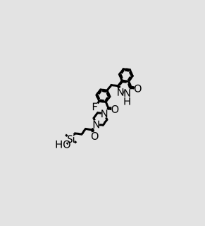 C[Si](C)(O)CCCC(=O)N1CCN(C(=O)c2cc(Cc3n[nH]c(=O)c4ccccc34)ccc2F)CC1